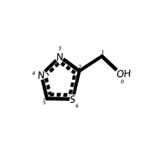 OCc1nn[c]s1